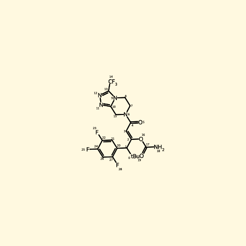 CC(C)(C)C(/C(=C/C(=O)N1CCn2c(nnc2C(F)(F)F)C1)OC(N)=O)c1cc(F)c(F)cc1F